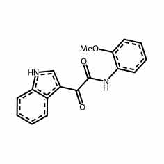 COc1ccccc1NC(=O)C(=O)c1c[nH]c2ccccc12